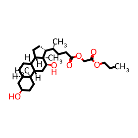 CCCOC(=O)COC(=O)CC[C@@H](C)[C@H]1CC[C@H]2[C@@H]3CC[C@@H]4C[C@H](O)CC[C@]4(C)[C@H]3C[C@H](O)[C@]12C